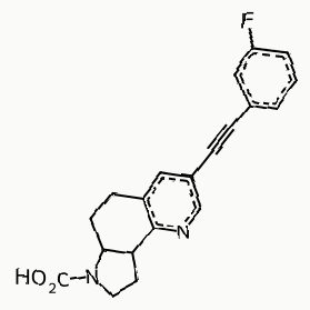 O=C(O)N1CCC2c3ncc(C#Cc4cccc(F)c4)cc3CCC21